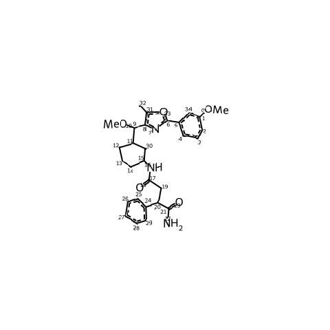 COc1cccc(-c2nc(C(OC)C3CCCC(NC(=O)CC(C(N)=O)c4ccccc4)C3)c(C)o2)c1